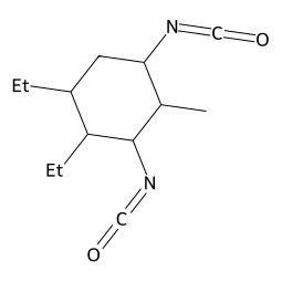 CCC1CC(N=C=O)C(C)C(N=C=O)C1CC